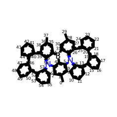 Cc1cc2c3c(c1)-n1c4ccccc4c4ccccc4c4ccccc4c4cc(C)cc(c41)B3c1cc(C)cc3c4ccccc4c4ccccc4c4ccccc4n-2c13